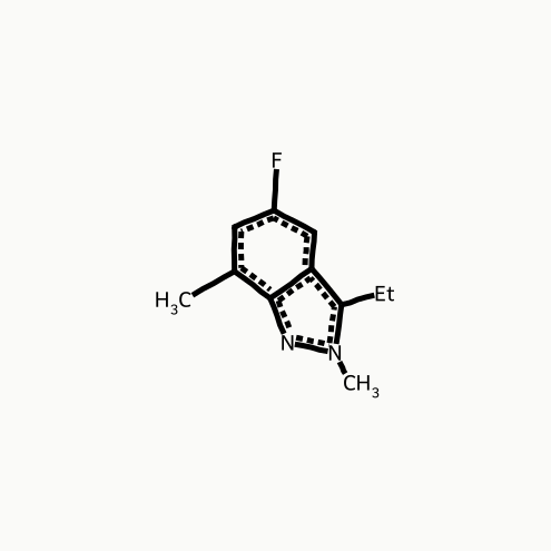 CCc1c2cc(F)cc(C)c2nn1C